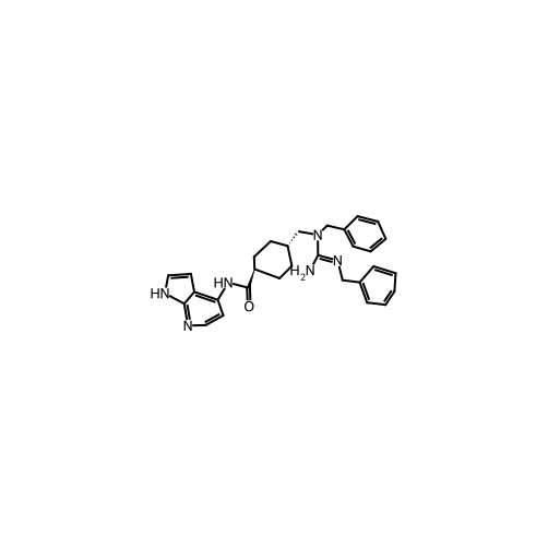 N/C(=N\Cc1ccccc1)N(Cc1ccccc1)C[C@H]1CC[C@H](C(=O)Nc2ccnc3[nH]ccc23)CC1